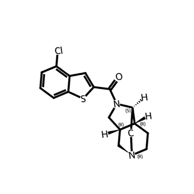 O=C(c1cc2c(Cl)cccc2s1)N1C[C@H]2C[N@]3CC[C@H]2[C@H]1C3